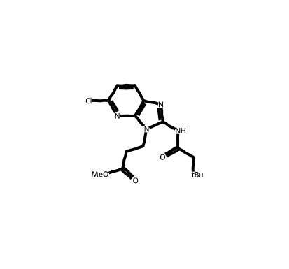 COC(=O)CCn1c(NC(=O)CC(C)(C)C)nc2ccc(Cl)nc21